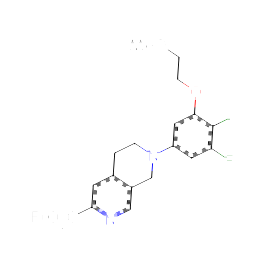 CCOC(=O)c1cc2c(cn1)CN(c1cc(F)c(F)c(OCCOC)c1)CC2